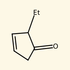 CCC1C=CCC1=O